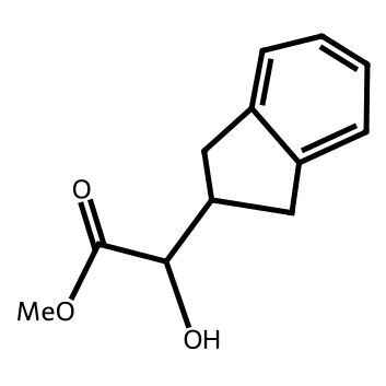 COC(=O)C(O)C1Cc2ccccc2C1